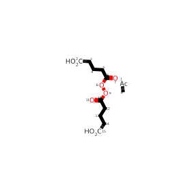 CC(C)=O.O=C(O)CCCC(=O)OOC(=O)CCCC(=O)O